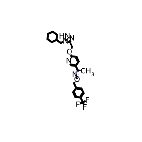 C/C(=N\OCc1ccc(C(F)(F)F)cc1)c1ccc(OCc2n[nH]n2CC2CCCCC2)nc1